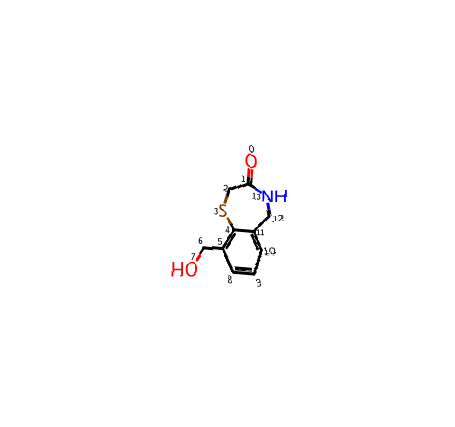 O=C1CSc2c(CO)cccc2CN1